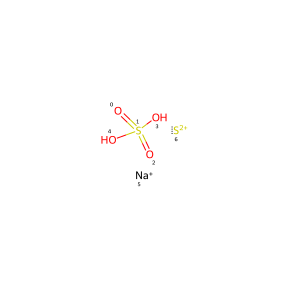 O=S(=O)(O)O.[Na+].[S+2]